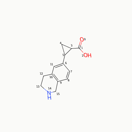 O=C(O)C1CC1c1ccc2c(c1)CCNC2